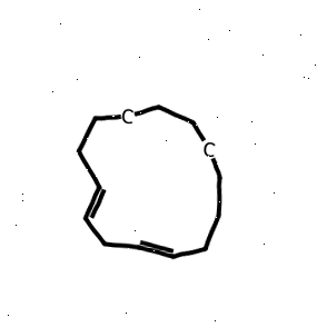 C1=C/CCCCCCCCC/C=C/C/1